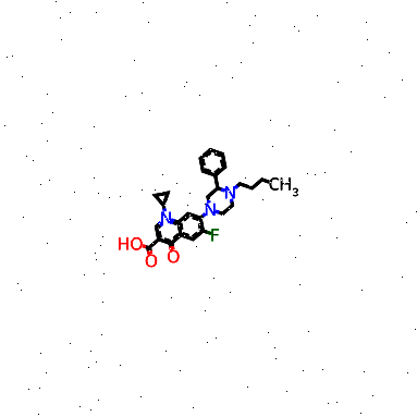 CCCCN1CCN(c2cc3c(cc2F)c(=O)c(C(=O)O)cn3C2CC2)CC1c1ccccc1